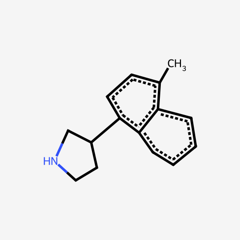 Cc1ccc(C2CCNC2)c2ccccc12